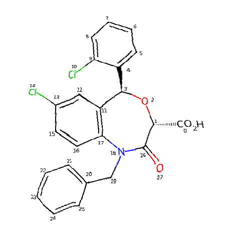 O=C(O)[C@H]1O[C@H](c2ccccc2Cl)c2cc(Cl)ccc2N(Cc2ccccc2)C1=O